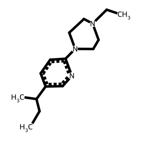 CCC(C)c1ccc(N2CCN(CC)CC2)nc1